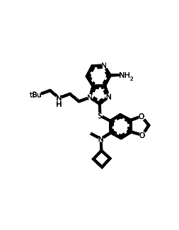 CN(c1cc2c(cc1Sc1nc3c(N)nccc3n1CCNCC(C)(C)C)OCO2)C1CCC1